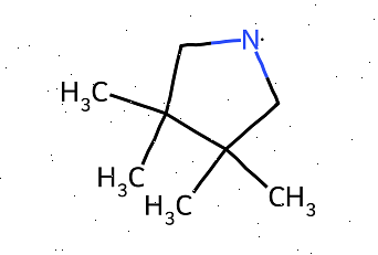 CC1(C)C[N]CC1(C)C